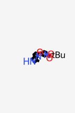 CC1CNCc2ccc(OC3CCN(C(=O)OC(C)(C)C)CC3)nc21